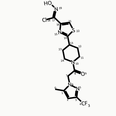 Cc1cc(C(F)(F)F)nn1CC(=O)N1CCC(c2nc(/C(Cl)=N/O)cs2)CC1